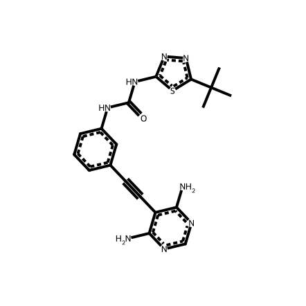 CC(C)(C)c1nnc(NC(=O)Nc2cccc(C#Cc3c(N)ncnc3N)c2)s1